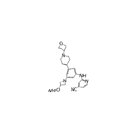 COC1CN(c2cc(Nc3cc(C#N)ccn3)cc(C3CCN(C4COC4)CC3)c2)C1